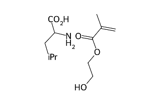 C=C(C)C(=O)OCCO.CC(C)CC(N)C(=O)O